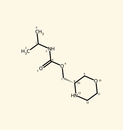 CC(C)NC(=O)OC[C@@H]1COCCN1